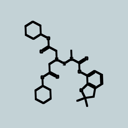 CN(SN(CC(=O)OC1CCCCC1)CC(=O)OC1CCCCC1)C(=O)Oc1cccc2c1OC(C)(C)C2